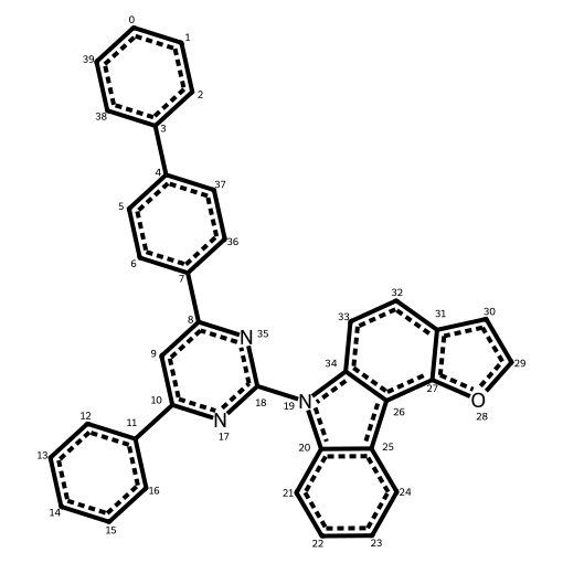 c1ccc(-c2ccc(-c3cc(-c4ccccc4)nc(-n4c5ccccc5c5c6occc6ccc54)n3)cc2)cc1